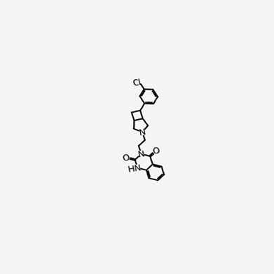 O=c1[nH]c2ccccc2c(=O)n1CCN1CC2CC(c3cccc(Cl)c3)C2C1